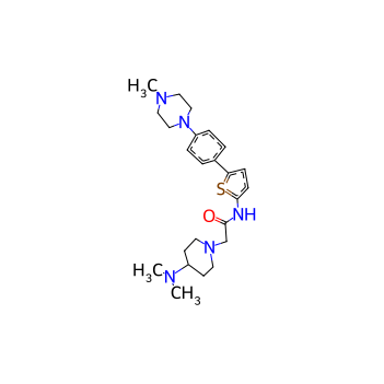 CN1CCN(c2ccc(-c3ccc(NC(=O)CN4CCC(N(C)C)CC4)s3)cc2)CC1